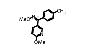 CO/N=C(/c1ccc(C)cc1)c1ccc(OC)nc1